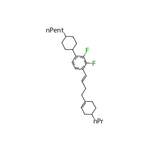 CCCCCC1CCC(c2ccc(/C=C/CCC3=CCC(CCC)CC3)c(F)c2F)CC1